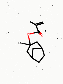 C=C(C)C(=O)OC1(CC)CC2CCC(C2)C1